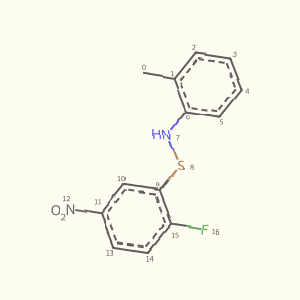 Cc1ccccc1NSc1cc([N+](=O)[O-])ccc1F